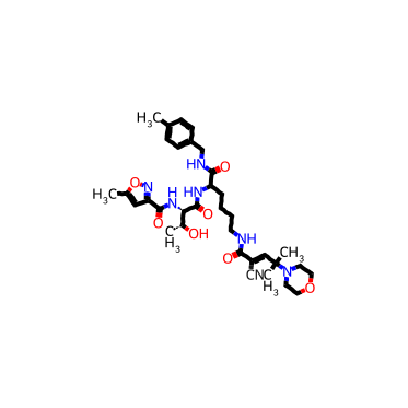 Cc1ccc(CNC(=O)C(CCCCNC(=O)C(C#N)=CC(C)(C)N2CCOCC2)NC(=O)[C@@H](NC(=O)c2cc(C)on2)[C@@H](C)O)cc1